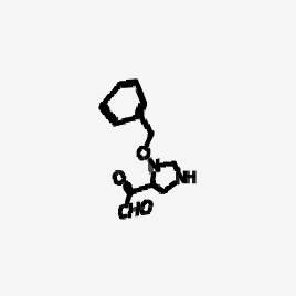 O=CC(=O)C1CNCN1OCc1ccccc1